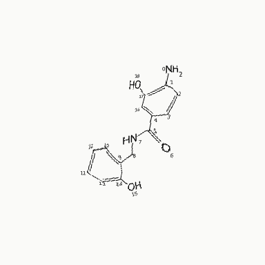 Nc1ccc(C(=O)NCc2ccccc2O)cc1O